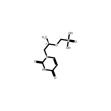 C[C@H](Cn1ccc(=O)[nH]c1=O)OCP(=O)(O)O